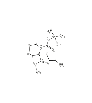 BCCCC1(C(=O)OC)CCCCN1C(=O)OC(C)(C)C